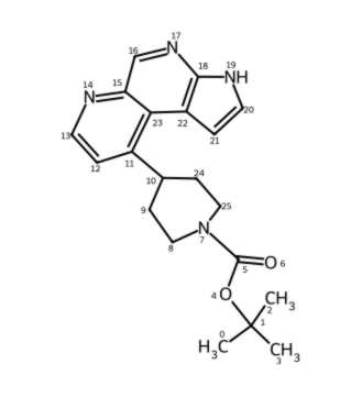 CC(C)(C)OC(=O)N1CCC(c2ccnc3cnc4[nH]ccc4c23)CC1